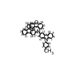 Cc1ccc(-n2c3ccccc3c3cc(N(c4ccc5c(c4)C4(CCCC4)c4ccccc4-5)c4cccc5oc6ccccc6c45)ccc32)cc1